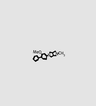 COc1cc(N2CC3CN(C)CC3C2)ccc1-c1ccccc1